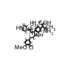 COc1ccc(CCC2Nc3cc(/C(=C(\C)O)C(C)N)ccc3N2CC(C)N2CCNCC2)cc1Cl